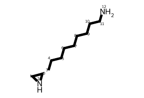 C1CN1.CCCCCCCCCN